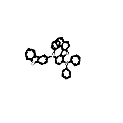 c1ccc(N(c2ccccc2)c2ccc(N(c3ccccc3)c3ccc4oc5ccccc5c4c3)c3c2oc2ccc4ccccc4c23)cc1